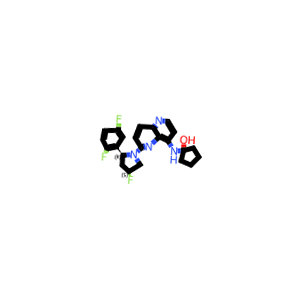 OC1(Nc2ccnc3ccc(N4C[C@@H](F)C[C@@H]4c4cc(F)ccc4F)nc23)CCCC1